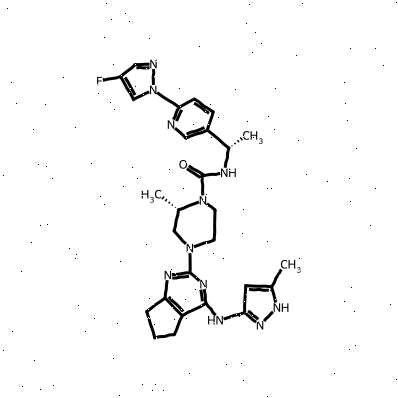 Cc1cc(Nc2nc(N3CCN(C(=O)N[C@@H](C)c4ccc(-n5cc(F)cn5)nc4)[C@@H](C)C3)nc3c2CCC3)n[nH]1